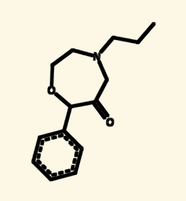 CCCN1CCOC(c2ccccc2)C(=O)C1